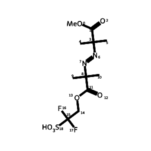 COC(=O)C(C)(C)N=NC(C)(C)C(=O)OCC(F)(F)S(=O)(=O)O